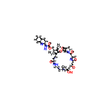 CC1=C\[C@@H](O)CC(=O)Cc2nc(co2)C(=O)N2CCC[C@@H]2C(=O)O[C@H]([C@H](C)CCOC(=O)Nc2ccc3ccccc3n2)[C@H](C)/C=C/C(=O)NC\C=C\1